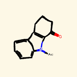 CC(=O)n1c2c(c3ccccc31)CCCC2=O